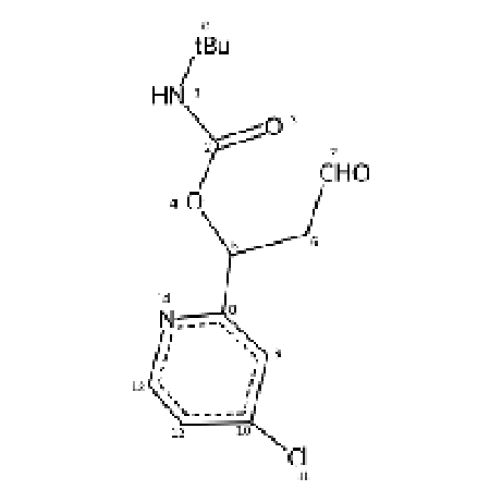 CC(C)(C)NC(=O)OC(CC=O)c1cc(Cl)ccn1